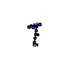 N#Cc1ccc(-c2ccc(-c3ccc(-c4ccc(-c5cc6c7ccccc7sc6c6nc7c8ccc9ccccc9c8ccc7n56)cc4)c4ccccc34)cc2)cc1